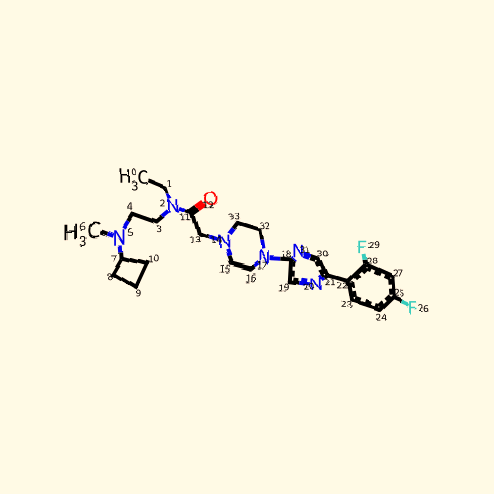 CCN(CCN(C)C1CCC1)C(=O)CN1CCN(c2cnc(-c3ccc(F)cc3F)cn2)CC1